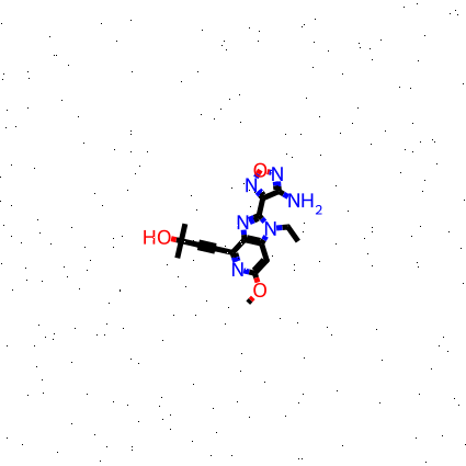 CCn1c(-c2nonc2N)nc2c(C#CC(C)(C)O)nc(OC)cc21